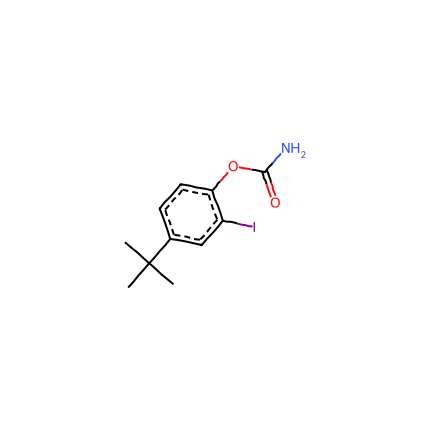 CC(C)(C)c1ccc(OC(N)=O)c(I)c1